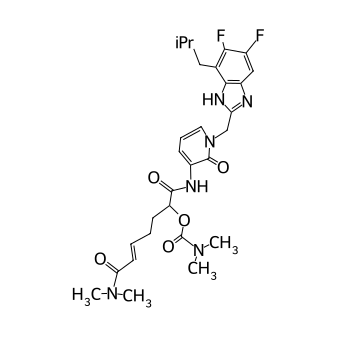 CC(C)Cc1c(F)c(F)cc2nc(Cn3cccc(NC(=O)C(CCC=CC(=O)N(C)C)OC(=O)N(C)C)c3=O)[nH]c12